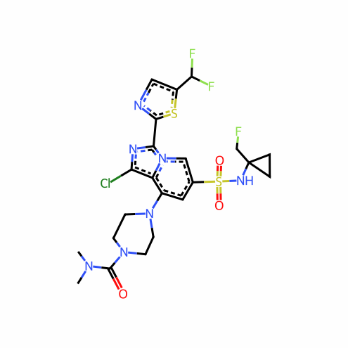 CN(C)C(=O)N1CCN(c2cc(S(=O)(=O)NC3(CF)CC3)cn3c(-c4ncc(C(F)F)s4)nc(Cl)c23)CC1